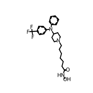 O=C(CCCCCCN1CCC(N(c2ccccc2)c2ccc(C(F)(F)F)cc2)CC1)NO